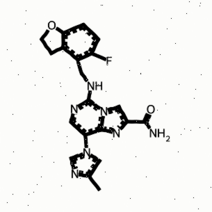 Cc1cn(-c2cnc(NCc3c(F)ccc4c3CCO4)n3cc(C(N)=O)nc23)cn1